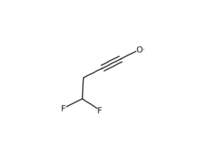 [O]C#CCC(F)F